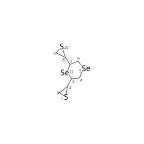 C1SC1C1C[Se]CC(C2CS2)[Se]1